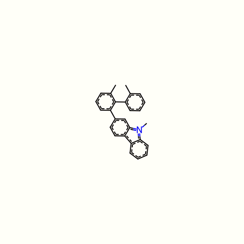 Cc1ccccc1-c1c(C)cccc1-c1ccc2c3ccccc3n(C)c2c1